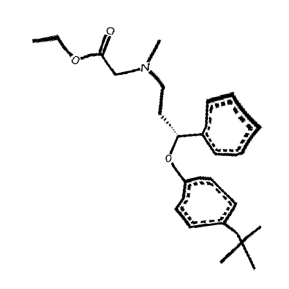 CCOC(=O)CN(C)CC[C@@H](Oc1ccc(C(C)(C)C)cc1)c1ccccc1